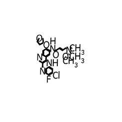 CO[C@@H](C)N(C)CC=CC(=O)Nc1cc2c(Nc3ccc(F)c(Cl)c3)c(C#N)cnc2cc1OC1CCOC1